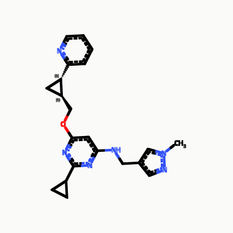 Cn1cc(CNc2cc(OC[C@H]3C[C@@H]3c3ccccn3)nc(C3CC3)n2)cn1